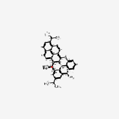 CC(C)c1cc(C(C)C)c(B2c3ccccc3Oc3c2c(C(C)C)c2ccc4ccc(C(C)C)c5ccc3c2c45)c(C(C)C)c1